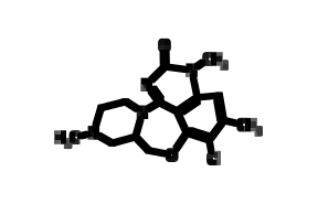 Cc1cc2c3c(nc(=O)n2C)N2CCN(C)CC2COc3c1Cl